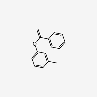 C=C(Oc1cccc(C)c1)c1ccccc1